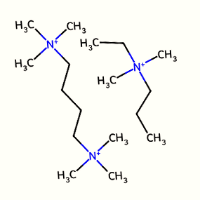 CCC[N+](C)(C)CC.C[N+](C)(C)CCCC[N+](C)(C)C